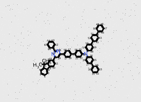 CC1(C)c2ccccc2-c2ccc(-c3cc(-c4ccc(-c5ccc(N(c6ccc(-c7ccccc7)cc6)c6ccc(-c7ccc(-c8ccccc8)cc7)cc6)cc5)cc4)nc(-c4ccccc4)n3)cc21